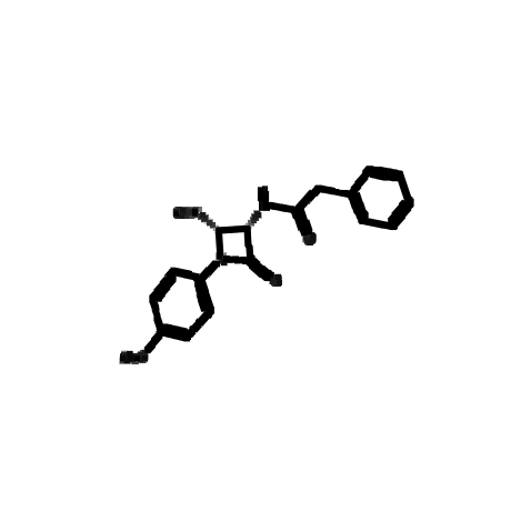 COc1ccc(N2C(=O)[C@@H](NC(=O)Cc3ccccc3)[C@H]2C=O)cc1